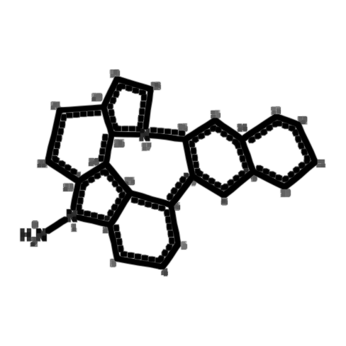 Nn1c2cccc3c4cc5ccccc5cc4n4ccc5ccc1c(c32)c54